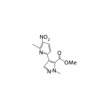 COC(=O)c1c(-c2ccc([N+](=O)[O-])c(C)n2)cnn1C